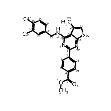 COC(=O)c1ccc(-c2nc(NCc3ccc(Cl)c(Cl)c3)c3c(C)csc3n2)cc1